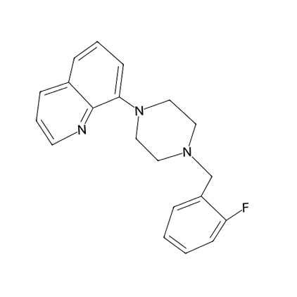 Fc1ccccc1CN1CCN(c2cccc3cccnc23)CC1